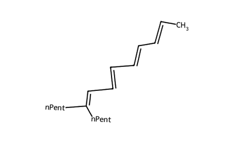 CC=CC=CC=CC=C(CCCCC)CCCCC